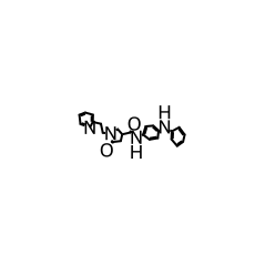 O=C(Nc1ccc(Nc2ccccc2)cc1)C1CC(=O)N(CCc2ccccn2)C1